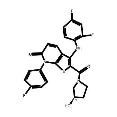 O=C(c1sc2c(ccc(=O)n2-c2ccc(F)cc2)c1Nc1ccc(F)cc1F)N1CC[C@@H](O)C1